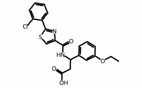 CCOc1cccc(C(CC(=O)O)NC(=O)c2csc(-c3ccccc3Cl)n2)c1